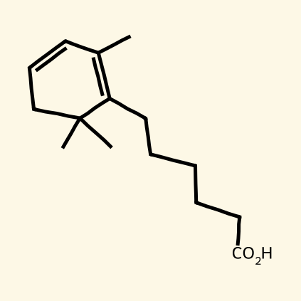 CC1=C(CCCCCC(=O)O)C(C)(C)CC=C1